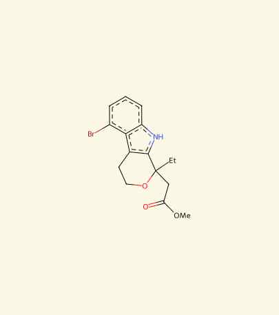 CCC1(CC(=O)OC)OCCc2c1[nH]c1cccc(Br)c21